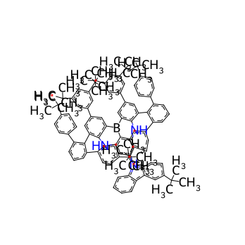 CC(C)(C)c1ccc(-c2cccc(-c3ccc(C(C)(C)C)cc3)c2-c2cc(-c3cc(C(C)(C)C)cc(C(C)(C)C)c3)cc3c2Nc2cc(-n4c5ccccc5c5cc(C(C)(C)C)ccc54)cc4c2B3c2cc(-c3cc(C(C)(C)C)cc(C(C)(C)C)c3)cc(-c3c(-c5ccc(C(C)(C)C)cc5)cccc3-c3ccc(C(C)(C)C)cc3)c2N4)cc1